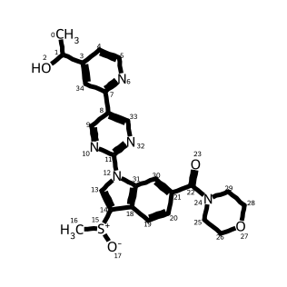 CC(O)c1ccnc(-c2cnc(-n3cc([S+](C)[O-])c4ccc(C(=O)N5CCOCC5)cc43)nc2)c1